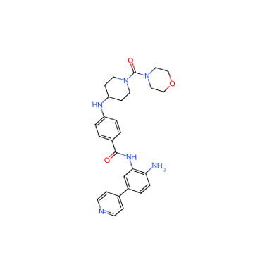 Nc1ccc(-c2ccncc2)cc1NC(=O)c1ccc(NC2CCN(C(=O)N3CCOCC3)CC2)cc1